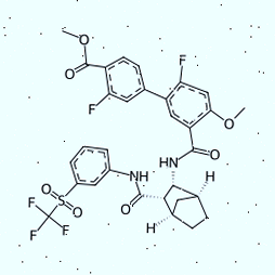 COC(=O)c1ccc(-c2cc(C(=O)N[C@@H]3[C@H]4CC[C@H](C4)[C@@H]3C(=O)Nc3cccc(S(=O)(=O)C(F)(F)F)c3)c(OC)cc2F)cc1F